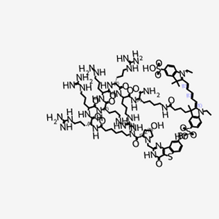 CCN1/C(=C/C=C/C=C/C2=[N+](CC)c3ccc(S(=O)(=O)O)cc3C2(C)C)C(C)(CCCC(=O)NCCCC[C@@H](NC(=O)C(CCCNC(=N)N)NC(=O)[C@@H](CCCNC(=N)N)NC(=O)C(CCCNN)NC(=O)[C@@H](CCCN)NC(=O)C(CCCNC(=N)N)NC(=O)[C@@H](CCCNC(=N)N)NC(=O)CCCCCNC(=O)[C@H]2C[C@H](O)CN2Cc2nc3c(sc4ccc(Br)cc43)c(=O)[nH]2)C(N)=O)c2cc(S(=O)(=O)O)ccc21